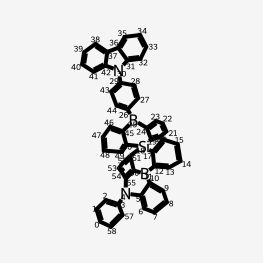 c1ccc(N2c3ccccc3B3c4ccccc4[Si]4(c5ccccc5B(c5ccc(-n6c7ccccc7c7ccccc76)cc5)c5ccccc54)c4cccc2c43)cc1